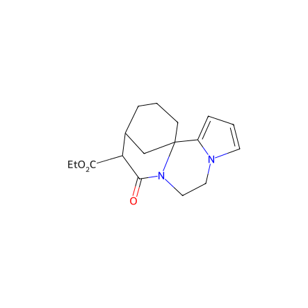 CCOC(=O)C1C(=O)N2CCn3cccc3C23CCCC1C3